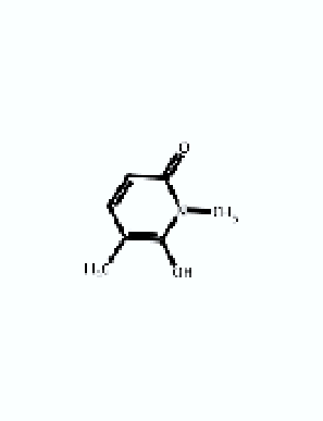 Cc1ccc(=O)n(C)c1O